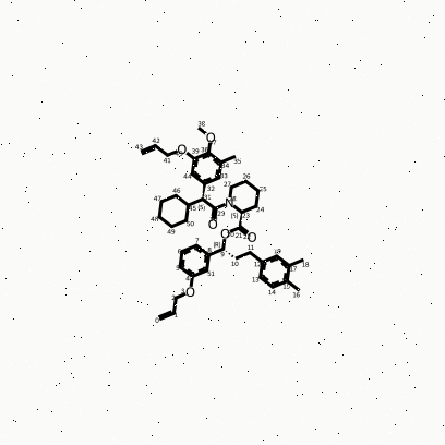 C=CCOc1cccc([C@@H](CCc2ccc(C)c(C)c2)OC(=O)[C@@H]2CCCCN2C(=O)[C@H](c2cc(C)c(OC)c(OCC=C)c2)C2CCCCC2)c1